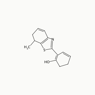 CC1CC=Cc2nc(C3=C(O)CCC=C3)sc21